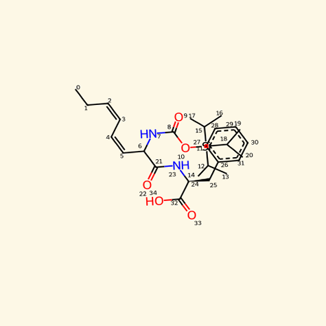 CC/C=C\C=C/C(NC(=O)O[Si](C(C)C)(C(C)C)C(C)C)C(=O)N[C@@H](Cc1ccccc1)C(=O)O